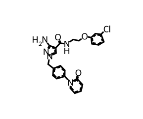 Nc1nn(Cc2ccc(-n3ccccc3=O)cc2)cc1C(=O)NCCOc1cccc(Cl)c1